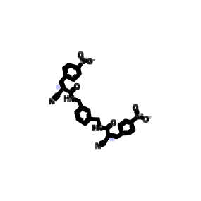 N#C/C(=C/c1ccc([N+](=O)[O-])cc1)C(=O)NCc1cccc(CNC(=O)/C(C#N)=C\c2ccc([N+](=O)[O-])cc2)c1